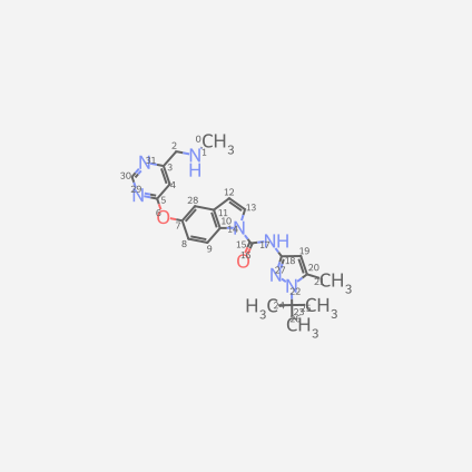 CNCc1cc(Oc2ccc3c(ccn3C(=O)Nc3cc(C)n(C(C)(C)C)n3)c2)ncn1